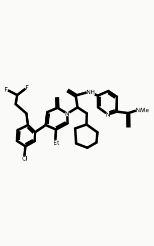 C=C(NC)c1ccc(NC(=C)C(CC2CCCCC2)N2C=C(CC)C(c3cc(Cl)ccc3CCC(F)F)=CC2=C)cn1